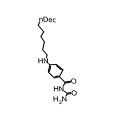 CCCCCCCCCCCCCCCCNc1ccc(C(=O)NC(N)=O)cc1